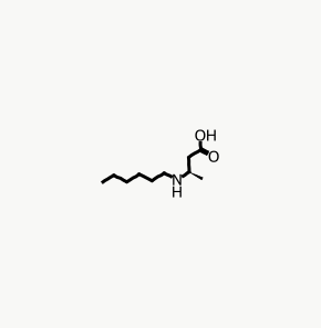 CCCCCCN[C@H](C)CC(=O)O